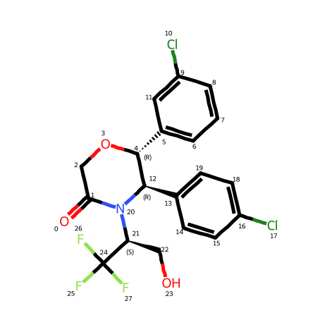 O=C1CO[C@H](c2cccc(Cl)c2)[C@@H](c2ccc(Cl)cc2)N1[C@@H](CO)C(F)(F)F